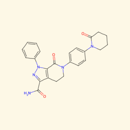 NC(=O)c1nn(-c2ccccc2)c2c1CCN(c1ccc(N3CCCCC3=O)cc1)C2=O